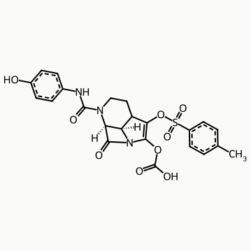 Cc1ccc(S(=O)(=O)OC2=C(OC(=O)O)N3C(=O)[C@@H]4[C@H]3C2CCN4C(=O)Nc2ccc(O)cc2)cc1